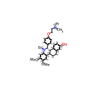 CCN(Cc1ccc(OCCN(C)C(C)C)cc1)c1cc(OC)c(OC)cc1C1CCc2cc(O)ccc2C1